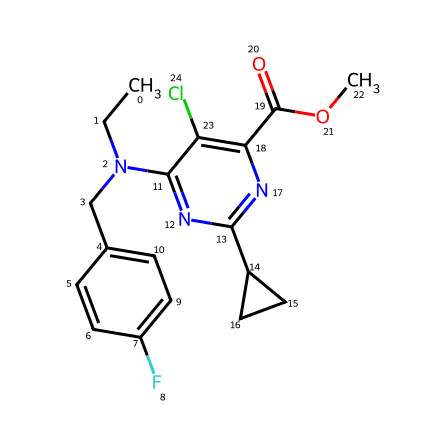 CCN(Cc1ccc(F)cc1)c1nc(C2CC2)nc(C(=O)OC)c1Cl